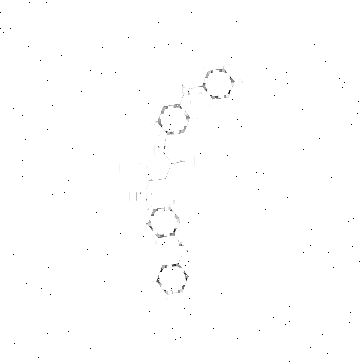 CC(CC(C)Nc1ccc(Nc2ccccc2)cc1)Nc1ccc(Nc2ccccc2)cc1